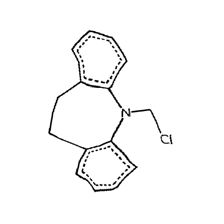 ClCN1c2ccccc2CCc2ccccc21